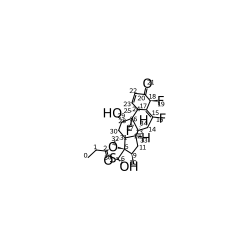 CCC(=O)O[C@]1(C(O)=S)[C@H](C)C[C@H]2[C@@H]3CC(F)=C4[C@H](F)C(=O)C=C[C@]4(C)[C@@]3(F)[C@@H](O)C[C@@]21C